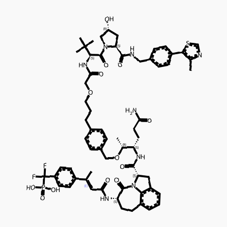 C/C(=C\C(=O)N[C@H]1CCc2cccc3c2N(C1=O)[C@H](C(=O)N[C@@H](CCC(N)=O)[C@@H](C)OCc1ccc(CCCOCC(=O)N[C@H](C(=O)N2C[C@H](O)C[C@H]2C(=O)NCc2ccc(-c4scnc4C)cc2)C(C)(C)C)cc1)C3)c1ccc(C(F)(F)P(=O)(O)O)cc1